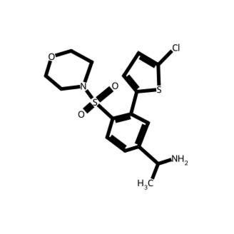 CC(N)c1ccc(S(=O)(=O)N2CCOCC2)c(-c2ccc(Cl)s2)c1